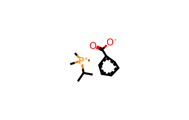 CC(C)[P+](C)(C)C.O=C([O-])c1ccccc1